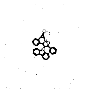 C=C1C2c3ccccc3C3C(N4C5=C(CCC=C5)C5C=CC=CC54)C(c4ccccc4)ON3C12